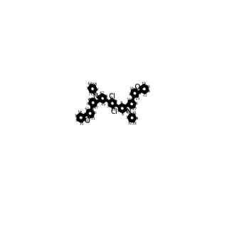 Clc1cc(-c2ccc3c(c2)c2cc(-c4ccc5oc6ccccc6c5c4)ccc2n3-c2ccccc2)c(Cl)cc1-c1ccc2c(c1)c1cc(-c3ccc4oc5ccccc5c4c3)ccc1n2-c1ccccc1